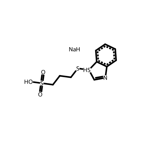 O=S(=O)(O)CCCS[SH]1C=Nc2ccccc21.[NaH]